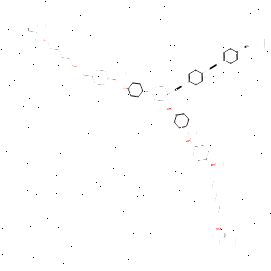 C#Cc1ccc(C#Cc2ccc(C#CC3(OC(=O)c4ccc(OC(=O)C5CCC(C(=O)OCCCCCCOC(=O)C=C)CC5)cc4)CCC(c4ccc(OC(=O)C5CCC(C(=O)OCCCCCCOC(=O)C=C)CC5)cc4)CC3)cc2)cc1